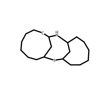 C1CCCC2CC(CCC1)SC1CCCCCCC(C1)N2